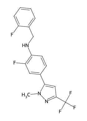 Cn1nc(C(F)(F)F)cc1-c1ccc(NCc2ccccc2F)c(F)c1